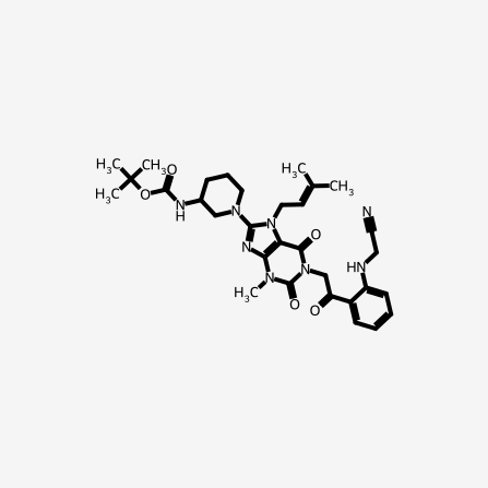 CC(C)=CCn1c(N2CCCC(NC(=O)OC(C)(C)C)C2)nc2c1c(=O)n(CC(=O)c1ccccc1NCC#N)c(=O)n2C